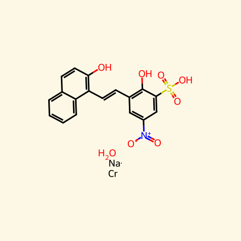 O.O=[N+]([O-])c1cc(/C=C/c2c(O)ccc3ccccc23)c(O)c(S(=O)(=O)O)c1.[Cr].[Na]